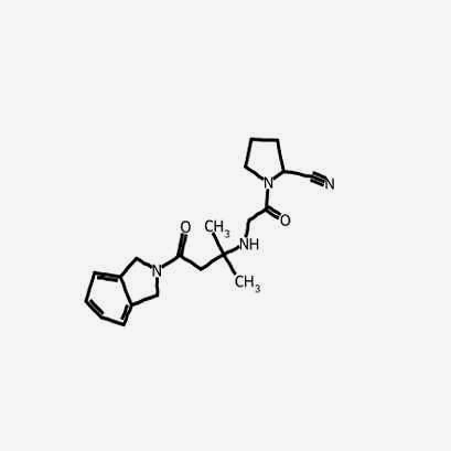 CC(C)(CC(=O)N1Cc2ccccc2C1)NCC(=O)N1CCCC1C#N